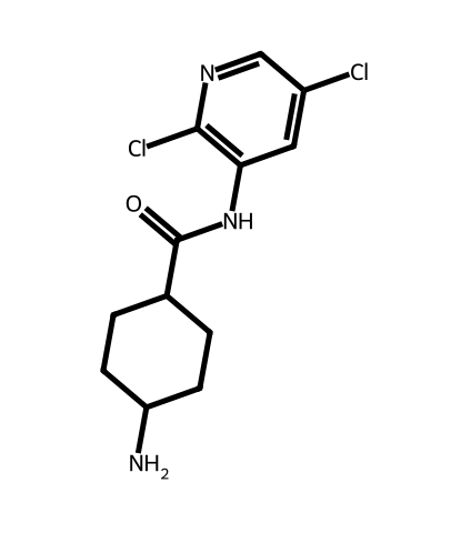 NC1CCC(C(=O)Nc2cc(Cl)cnc2Cl)CC1